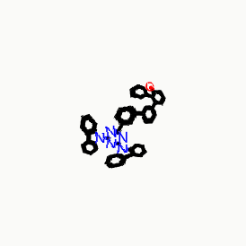 c1cc(-c2cccc(-c3cccc4oc5ccccc5c34)c2)cc(-c2nc(-n3c4ccccc4c4ccccc43)nc(-n3c4ccccc4c4ccccc43)n2)c1